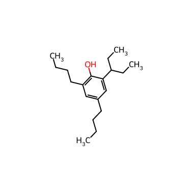 CCCCc1cc(CCCC)c(O)c(C(CC)CC)c1